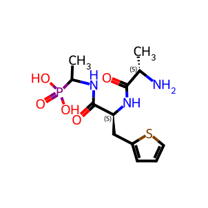 CC(NC(=O)[C@H](Cc1cccs1)NC(=O)[C@H](C)N)P(=O)(O)O